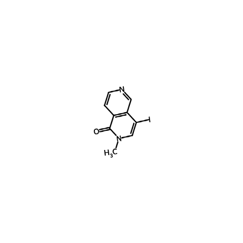 Cn1cc(I)c2cnccc2c1=O